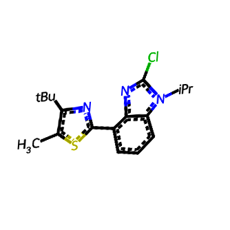 Cc1sc(-c2cccc3c2nc(Cl)n3C(C)C)nc1C(C)(C)C